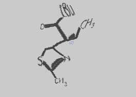 C/C=C(\C(=O)C(C)(C)C)C1CSC(C)=N1